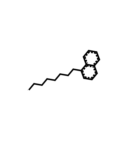 [CH2]CCCCCCCc1cccc2ccccc12